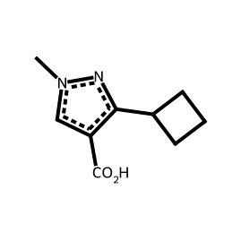 Cn1cc(C(=O)O)c(C2CCC2)n1